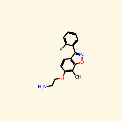 Cc1c(OCCN)ccc2c(-c3ccccc3F)noc12